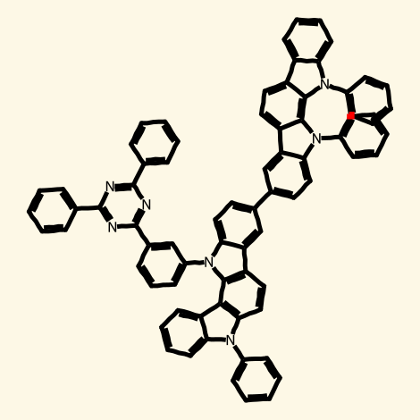 c1ccc(-c2nc(-c3ccccc3)nc(-c3cccc(-n4c5ccc(-c6ccc7c(c6)c6ccc8c9ccccc9n(-c9ccccc9)c8c6n7-c6ccccc6)cc5c5ccc6c(c7ccccc7n6-c6ccccc6)c54)c3)n2)cc1